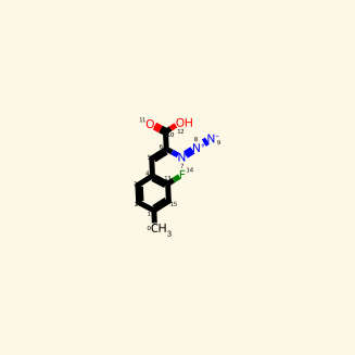 Cc1ccc(/C=C(\N=[N+]=[N-])C(=O)O)c(F)c1